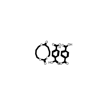 O=C(O)c1ccc(C(=O)O)cc1.O=C(O)c1ccc(C(=O)O)cc1.O=C1CCCCC(=O)OCCCCO1